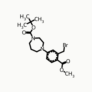 COC(=O)c1ccc(N2CCCN(C(=O)OC(C)(C)C)CC2)cc1CBr